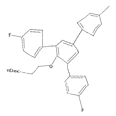 CCCCCCCCCCCCOc1c(-c2ccc(F)cc2)cc(-c2ccc(C)cc2)cc1-c1ccc(F)cc1